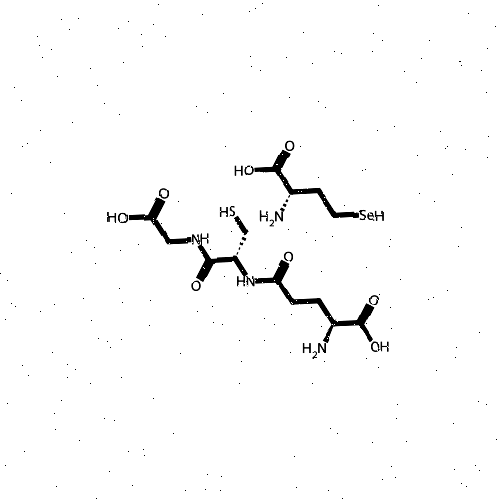 N[C@@H](CCC(=O)N[C@@H](CS)C(=O)NCC(=O)O)C(=O)O.N[C@@H](CC[SeH])C(=O)O